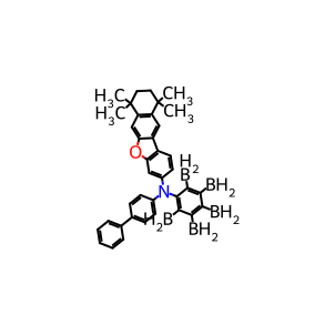 Bc1c(B)c(B)c(N(c2ccc(-c3ccccc3)cc2)c2ccc3c(c2)oc2cc4c(cc23)C(C)(C)CCC4(C)C)c(B)c1B